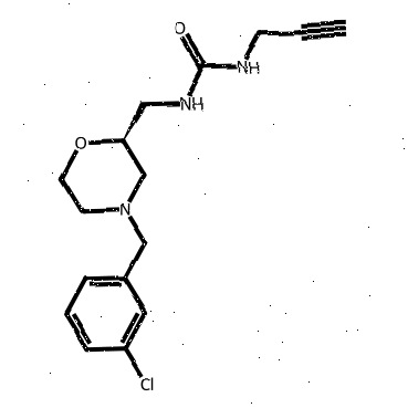 C#CCNC(=O)NC[C@H]1CN(Cc2cccc(Cl)c2)CCO1